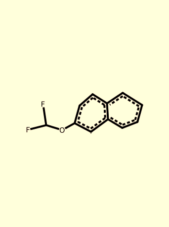 FC(F)Oc1[c]c2ccccc2cc1